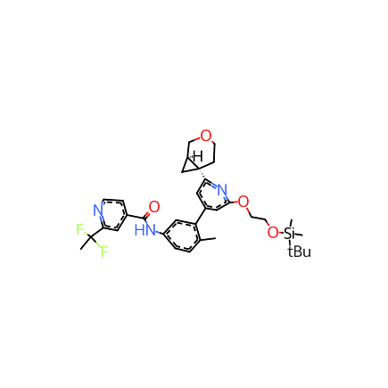 Cc1ccc(NC(=O)c2ccnc(C(C)(F)F)c2)cc1-c1cc(OCCO[Si](C)(C)C(C)(C)C)nc([C@@]23CCOC[C@@H]2C3)c1